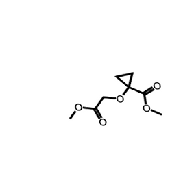 COC(=O)COC1(C(=O)OC)CC1